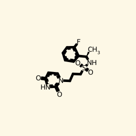 C[C@@H](NS(=O)(=O)CCCn1ccc(=O)[nH]c1=O)c1ccccc1F